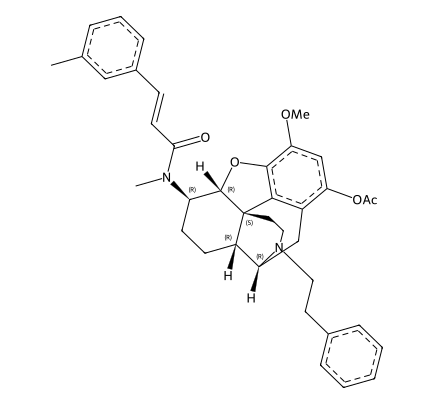 COc1cc(OC(C)=O)c2c3c1O[C@H]1[C@H](N(C)C(=O)C=Cc4cccc(C)c4)CC[C@H]4[C@@H](C2)N(CCc2ccccc2)CC[C@@]341